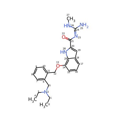 CCN(CC)Cc1ccccc1COc1cccc2cc(C(=O)N=C(N)NC)[nH]c12